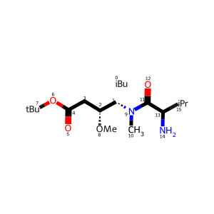 CC[C@H](C)[C@@H]([C@@H](CC(=O)OC(C)(C)C)OC)N(C)C(=O)C(N)C(C)C